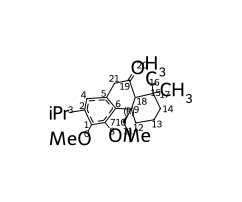 COc1c(C(C)C)cc2c(c1OC)[C@@]1(CI)CCCC(C)(C)C1C(=O)C2